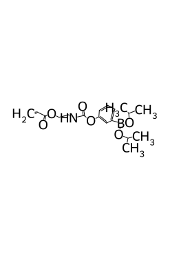 C=CC(=O)OCCNC(=O)Oc1cccc(B(OC(C)C)OC(C)C)c1